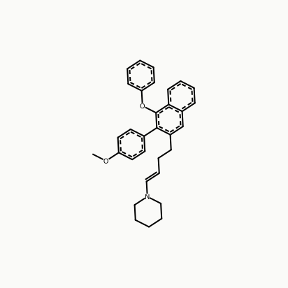 COc1ccc(-c2c(CCC=CN3CCCCC3)cc3ccccc3c2Oc2ccccc2)cc1